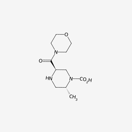 C[C@@H]1CN[C@@H](C(=O)N2CCOCC2)CN1C(=O)O